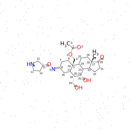 CC(=O)OC[C@]12CCC(=NOC3CCNC3)CC1[C@@H](CO)[C@@H](O)C1C2CC[C@]2(C)C(=O)CCC12